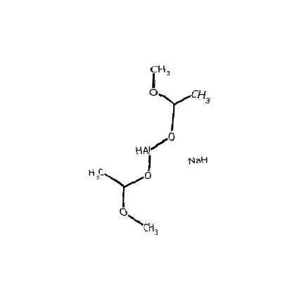 COC(C)[O][AlH][O]C(C)OC.[NaH]